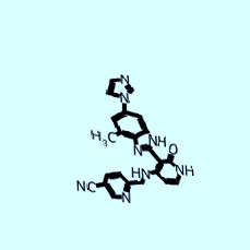 Cc1cc(-n2ccnc2)cc2[nH]c(-c3c(NCc4ccc(C#N)cn4)cc[nH]c3=O)nc12